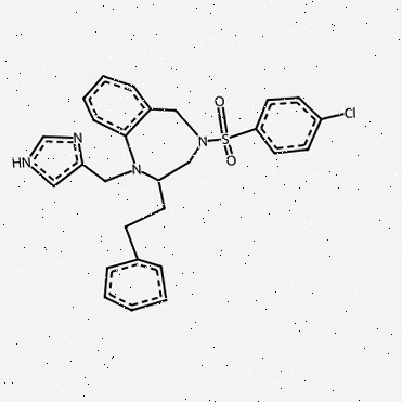 O=S(=O)(c1ccc(Cl)cc1)N1Cc2ccccc2N(Cc2c[nH]cn2)C(CCc2ccccc2)C1